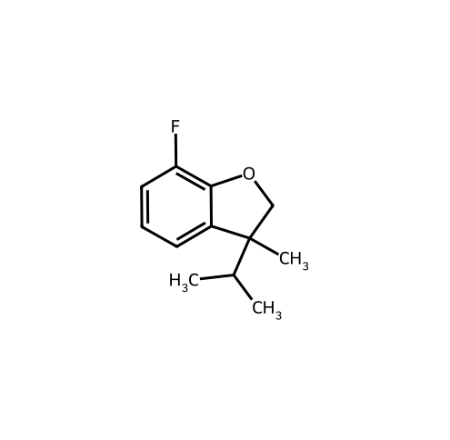 CC(C)C1(C)COc2c(F)cccc21